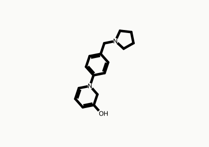 OC1=CC=CN(c2ccc(CN3CCCC3)cc2)C1